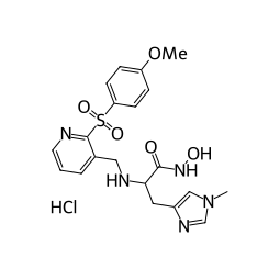 COc1ccc(S(=O)(=O)c2ncccc2CNC(Cc2cn(C)cn2)C(=O)NO)cc1.Cl